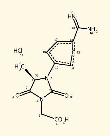 C[C@@H]1C(=O)N(CC(=O)O)C(=O)N1c1ccc(C(=N)N)cc1.Cl